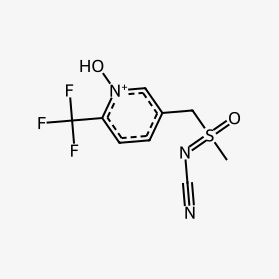 CS(=O)(Cc1ccc(C(F)(F)F)[n+](O)c1)=NC#N